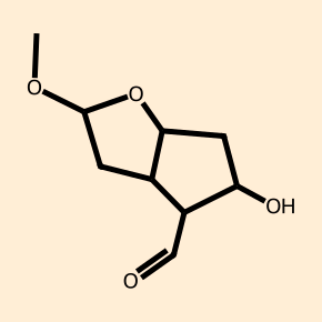 COC1CC2C(CC(O)C2C=O)O1